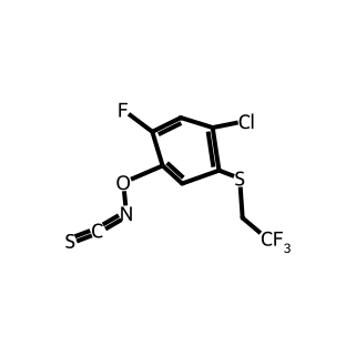 Fc1cc(Cl)c(SCC(F)(F)F)cc1ON=C=S